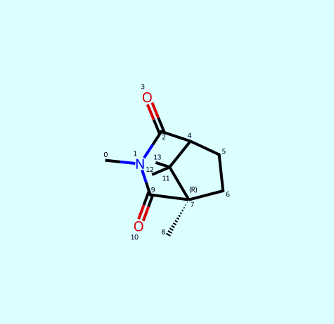 CN1C(=O)C2CC[C@@](C)(C1=O)C2(C)C